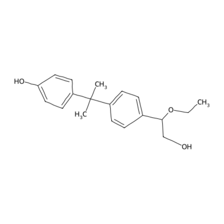 CCOC(CO)c1ccc(C(C)(C)c2ccc(O)cc2)cc1